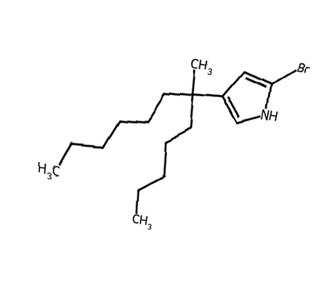 CCCCCCC(C)(CCCCC)c1c[nH]c(Br)c1